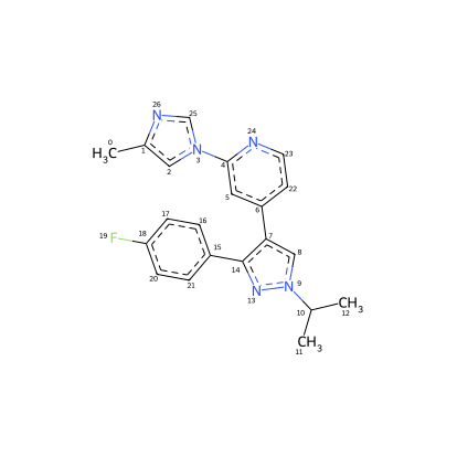 Cc1cn(-c2cc(-c3cn(C(C)C)nc3-c3ccc(F)cc3)ccn2)cn1